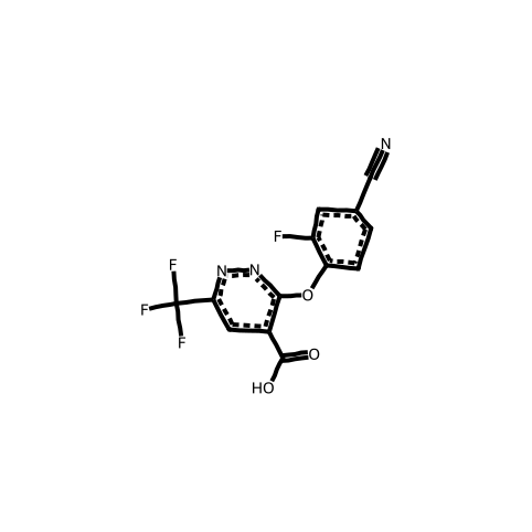 N#Cc1ccc(Oc2nnc(C(F)(F)F)cc2C(=O)O)c(F)c1